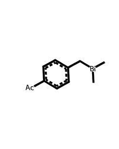 CC(=O)c1ccc([CH2][Bi]([CH3])[CH3])cc1